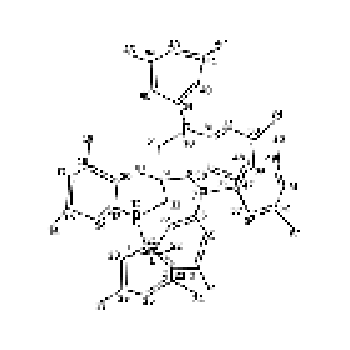 Cc1cc(C)cc(P(CC(C)(CP(c2cc(C)cc(C)c2)c2cc(C)cc(C)c2)CP(c2cc(C)cc(C)c2)c2cc(C)cc(C)c2)c2cc(C)cc(C)c2)c1